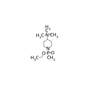 CCOP(C)(=O)N1CCC([N+](C)(C)C)CC1